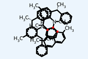 CC1=CC=C2C=CC(C)=C3C(Nc4c([C@H](C)c5ccccc5)cc(C)cc4[C@H](C)c4ccccc4)C(N(C)c4c([C@H](C)c5ccccc5)cc(C)cc4[C@H](C)c4ccccc4)C1C23